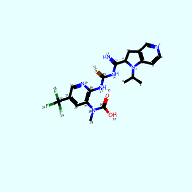 CC(C)N1c2ccncc2CC1C(=N)NC(=S)Nc1ncc(C(F)(F)F)cc1N(C)C(=O)O